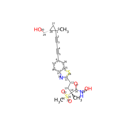 CC1(C#CC#Cc2ccc3nc(CC[C@](C)(C(=O)NO)S(C)(=O)=O)sc3c2)C[C@H]1CO